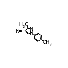 Cc1ccc(-n2cc(C#N)c(C)n2)cc1